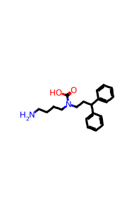 NCCCCN(CCC(c1ccccc1)c1ccccc1)C(=O)O